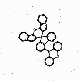 c1ccc2c(c1)Oc1ccccc1N2c1cccc2c1-c1ccccc1C21c2ccc3ccccc3c2Oc2c1ccc1ccccc21